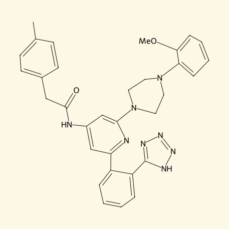 COc1ccccc1N1CCN(c2cc(NC(=O)Cc3ccc(C)cc3)cc(-c3ccccc3-c3nnn[nH]3)n2)CC1